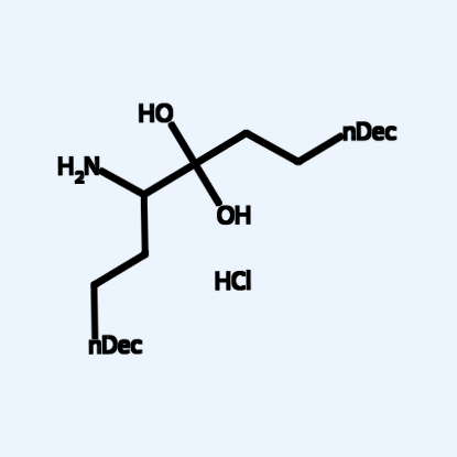 CCCCCCCCCCCCC(N)C(O)(O)CCCCCCCCCCCC.Cl